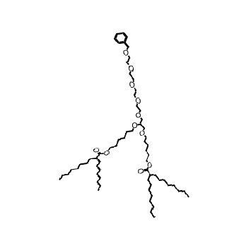 CCCCCCCCC(CCCCCCCC)C(=O)OCCCCCCOCC(COCCOCCOCCOCCOCc1ccccc1)OCCCCCCOC(=O)C(CCCCCCCC)CCCCCCCC